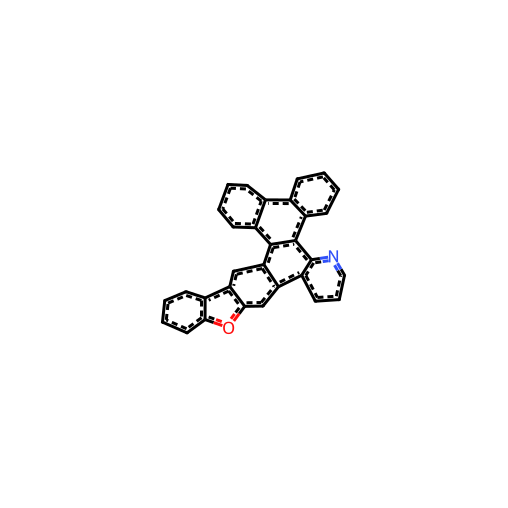 c1ccc2c(c1)oc1cc3c4cccnc4c4c5ccccc5c5ccccc5c4c3cc12